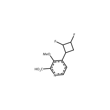 COc1c(C2CC(F)C2F)ccnc1C(=O)O